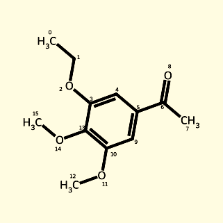 CCOc1cc(C(C)=O)cc(OC)c1OC